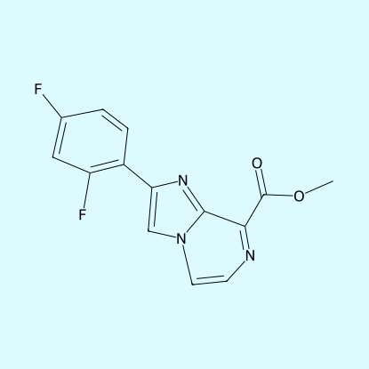 COC(=O)c1nccn2cc(-c3ccc(F)cc3F)nc12